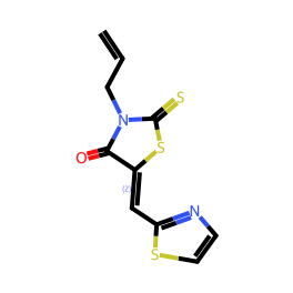 C=CCN1C(=O)/C(=C/c2nccs2)SC1=S